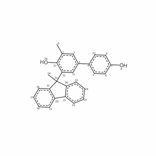 Cc1cc(-c2ccc(O)cc2)cc(C2(C)c3ccccc3-c3ccccc32)c1O